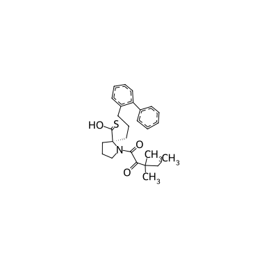 CCC(C)(C)C(=O)C(=O)N1CCC[C@@]1(CCCc1ccccc1-c1ccccc1)C(O)=S